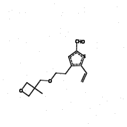 C=Cc1sc(C=O)cc1CCOCC1(C)COC1